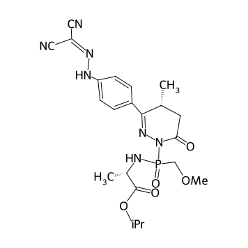 COCP(=O)(N[C@@H](C)C(=O)OC(C)C)N1N=C(c2ccc(NN=C(C#N)C#N)cc2)[C@H](C)CC1=O